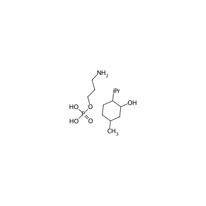 CC1CCC(C(C)C)C(O)C1.NCCCOP(=O)(O)O